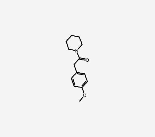 COc1ccc(CC(=O)N2CCCCC2)cc1